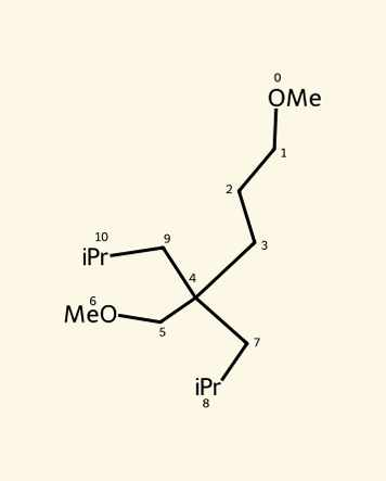 COCCCC(COC)(CC(C)C)CC(C)C